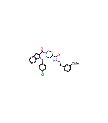 COc1cccc(CCNC(=O)C2CCN(C(=O)c3cc4ccccc4n3Cc3ccc(Cl)cc3)CC2)c1